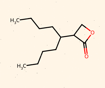 CCCCC(CCCC)C1COC1=O